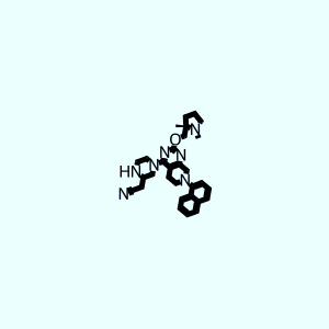 CN1CCC[C@@]1(C)COc1nc2c(c(N3CCNC(CC#N)C3)n1)CCN(c1cccc3ccccc13)C2